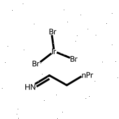 CCCCC=N.[Br][Ir]([Br])[Br]